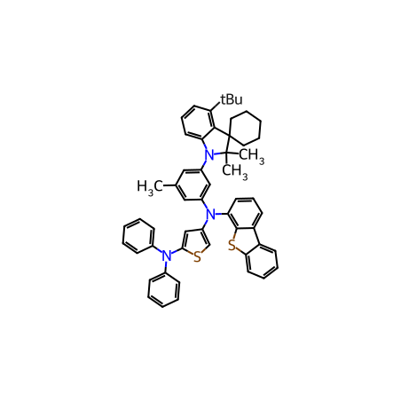 Cc1cc(N(c2csc(N(c3ccccc3)c3ccccc3)c2)c2cccc3c2sc2ccccc23)cc(N2c3cccc(C(C)(C)C)c3C3(CCCCC3)C2(C)C)c1